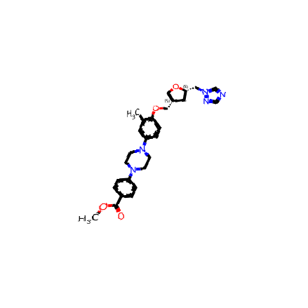 COC(=O)c1ccc(N2CCN(c3ccc(OC[C@@H]4CO[C@H](Cn5cncn5)C4)c(C)c3)CC2)cc1